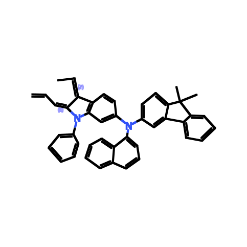 C=C/C=c1\c(=C/C)c2ccc(N(c3ccc4c(c3)-c3ccccc3C4(C)C)c3cccc4ccccc34)cc2n1-c1ccccc1